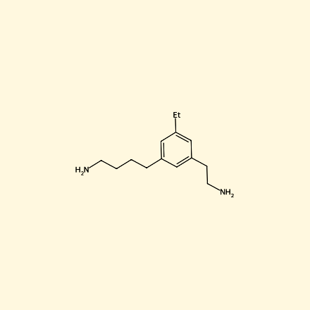 CCc1cc(CCN)cc(CCCCN)c1